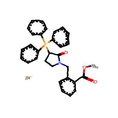 CC(C)(C)OC(=O)c1ccccc1CN1CCC([P+](c2ccccc2)(c2ccccc2)c2ccccc2)C1=O.[Br-]